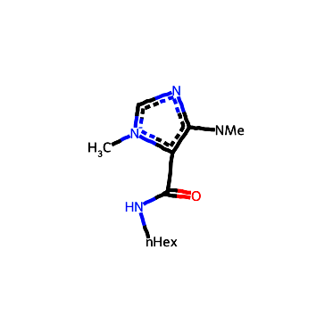 CCCCCCNC(=O)c1c(NC)ncn1C